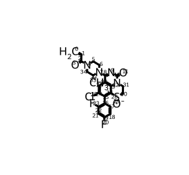 C=CC(=O)N1CCN(c2nc(=O)n3c4c(c(-c5ccc(F)cc5F)c(Cl)cc24)[S@@+]([O-])CC3)[C@@H](C)C1